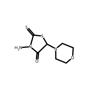 NN1C(=O)C(N2CCOCC2)SC1=S